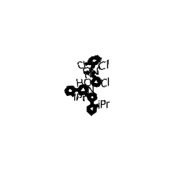 CC(C)c1ccccc1-c1ccc2c(c1)c1cc(-c3ccccc3C(C)C)ccc1n2-c1cc(Cl)cc(-c2noc(-c3c(Cl)cccc3Cl)n2)c1O